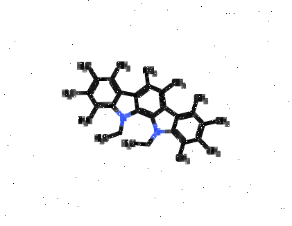 CCn1c2c(C)c(C)c(C)c(C)c2c2c(C)c(C)c3c4c(C)c(C)c(C)c(C)c4n(CC)c3c21